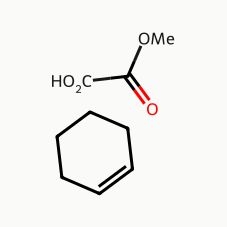 C1=CCCCC1.COC(=O)C(=O)O